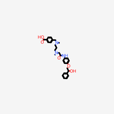 CN(CCCN(C)Cc1ccc(C(=O)O)cc1)CC(=O)Nc1ccc(OCC(O)c2ccccc2)cc1